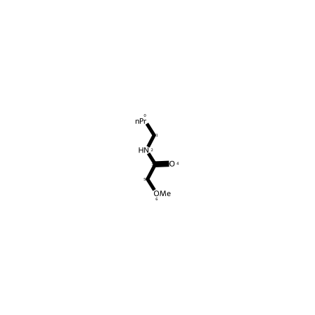 CCCCNC(=O)COC